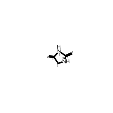 C=C1CNC(=C)N1